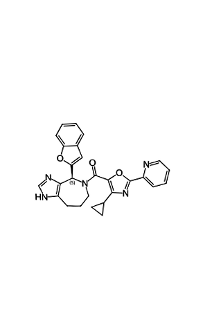 O=C(c1oc(-c2ccccn2)nc1C1CC1)N1CCCc2[nH]cnc2[C@H]1c1cc2ccccc2o1